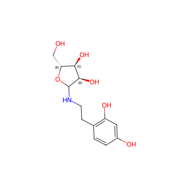 OC[C@H]1OC(NCCc2ccc(O)cc2O)[C@H](O)[C@@H]1O